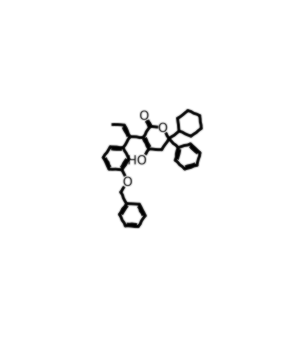 C/C=C(/C1=C(O)CC(c2ccccc2)(C2CCCCC2)OC1=O)c1cccc(OCc2ccccc2)c1